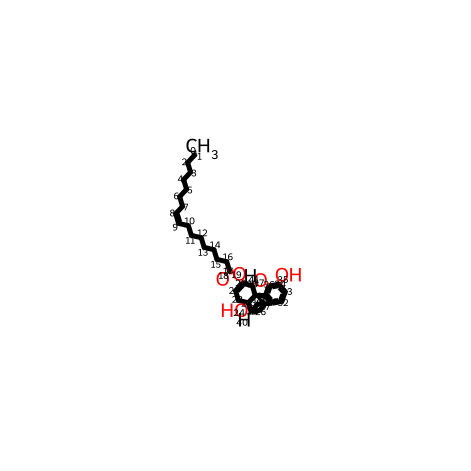 CCCCCCCC/C=C\CCCCCCCC(=O)OC1=CC[C@@]2(O)[C@@H]3CCC[C@@]24c2c(ccc(O)c2O[C@@H]14)C3